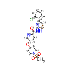 CS(=O)(=O)N1CCC(Oc2ccc(C(=O)Nc3nc(-c4ccccc4Cl)cs3)nc2)CC1